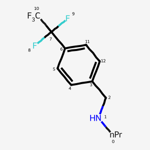 CCCNCc1ccc(C(F)(F)C(F)(F)F)cc1